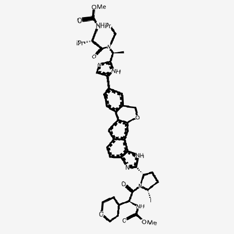 COC(=O)N[C@H](C(=O)N(CC(C)C)[C@@H](C)c1ncc(-c2ccc3c(c2)COc2cc4c(ccc5nc([C@@H]6CC[C@H](I)N6C(=O)[C@@H](NC(=O)OC)C6CCOCC6)[nH]c54)cc2-3)[nH]1)C(C)C